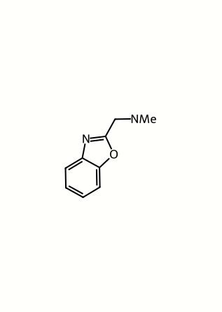 CNCc1nc2ccccc2o1